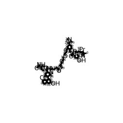 Cc1cc([C@H](C(=O)N2C[C@H](O)C[C@H]2C(=O)NCc2ccc(-c3scnc3C)cc2OCCOCCOCCN(C)C(=O)CCNc2nc(N3CCN(C(N)=O)CC3)c3cc(Cl)c(-c4cc(O)cc5ccccc45)c(F)c3n2)C(C)C)on1